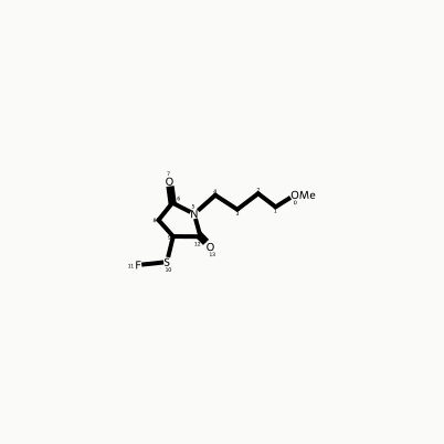 COCCCCN1C(=O)CC(SF)C1=O